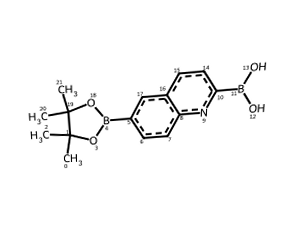 CC1(C)OB(c2ccc3nc(B(O)O)ccc3c2)OC1(C)C